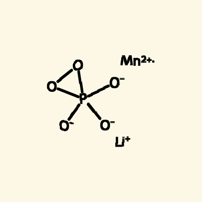 [Li+].[Mn+2].[O-]P1([O-])([O-])OO1